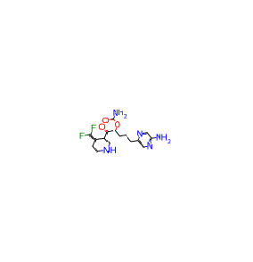 NC(=O)OC(CCCc1cnc(N)cn1)C(=O)C1CNCCC1=C(F)F